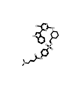 CN(C)C/C=C/C(=O)Nc1ccc(S(=O)(=O)/N=C/C2CCC[C@@H](Nc3ncc(Cl)c(-c4c[nH]c5ccccc45)n3)C2)cc1